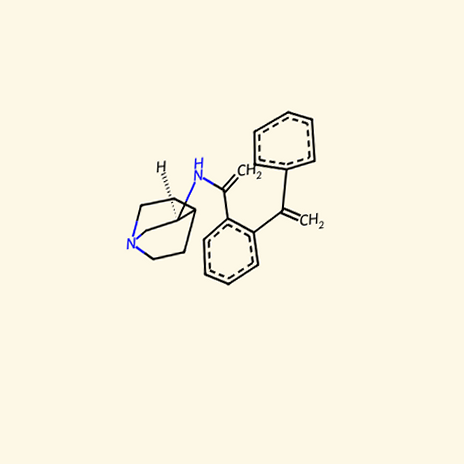 C=C(N[C@@H]1CN2CCC1CC2)c1ccccc1C(=C)c1ccccc1